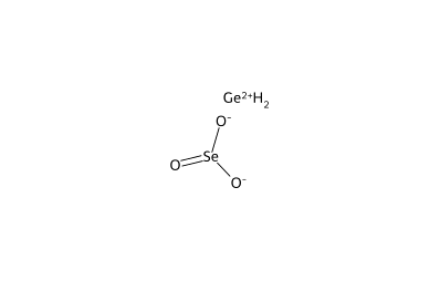 O=[Se]([O-])[O-].[GeH2+2]